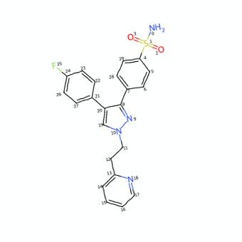 NS(=O)(=O)c1ccc(-c2nn(CCc3ccccn3)cc2-c2ccc(F)cc2)cc1